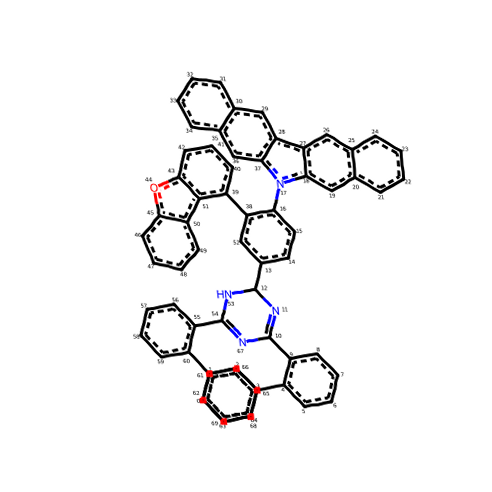 c1ccc(-c2ccccc2C2=NC(c3ccc(-n4c5cc6ccccc6cc5c5cc6ccccc6cc54)c(-c4cccc5oc6ccccc6c45)c3)NC(c3ccccc3-c3ccccc3)=N2)cc1